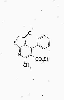 CCOC(=O)C1=C(C)N=C2SCC(=O)N2C1c1ccccc1